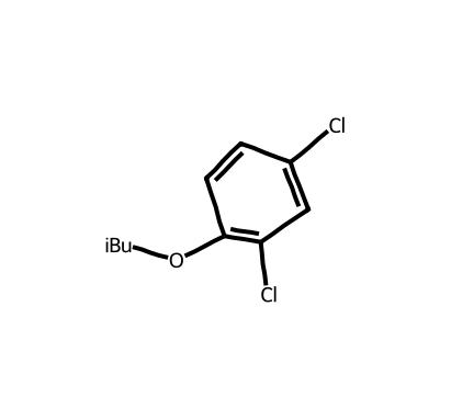 [CH2]C(CC)Oc1ccc(Cl)cc1Cl